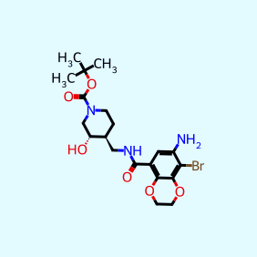 CC(C)(C)OC(=O)N1CC[C@@H](CNC(=O)c2cc(N)c(Br)c3c2OCCO3)[C@H](O)C1